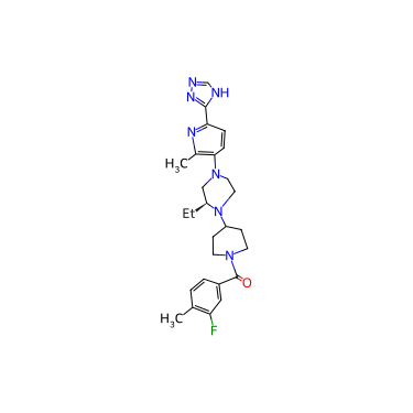 CC[C@H]1CN(c2ccc(-c3nnc[nH]3)nc2C)CCN1C1CCN(C(=O)c2ccc(C)c(F)c2)CC1